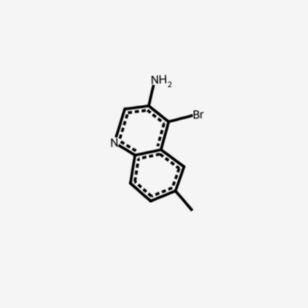 Cc1ccc2ncc(N)c(Br)c2c1